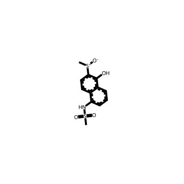 C[S+]([O-])c1ccc2c(NS(C)(=O)=O)cccc2c1O